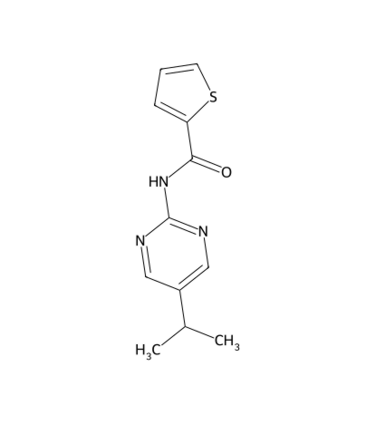 CC(C)c1cnc(NC(=O)c2cccs2)nc1